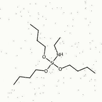 CCCCO[Si](NCC)(OCCCC)OCCCC